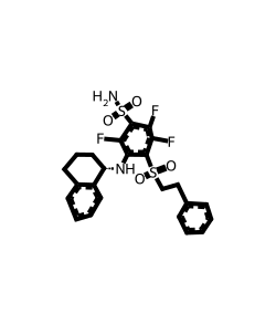 NS(=O)(=O)c1c(F)c(F)c(S(=O)(=O)CCc2ccccc2)c(N[C@H]2CCCc3ccccc32)c1F